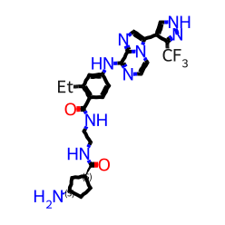 CCc1cc(Nc2nccn3c(-c4c[nH]nc4C(F)(F)F)cnc23)ccc1C(=O)NCCNC(=O)[C@H]1CC[C@H](N)C1